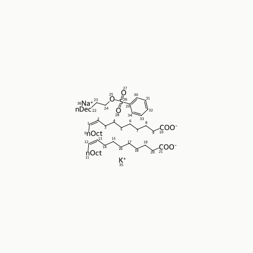 CCCCCCCC/C=C\CCCCCCCC(=O)[O-].CCCCCCCC/C=C\CCCCCCCC(=O)[O-].CCCCCCCCCCCCOS(=O)(=O)c1ccccc1.[K+].[Na+]